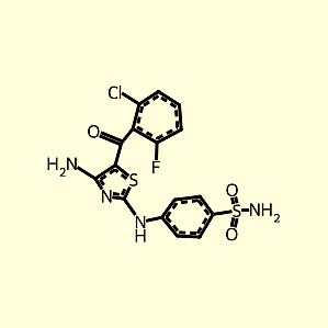 Nc1nc(Nc2ccc(S(N)(=O)=O)cc2)sc1C(=O)c1c(F)cccc1Cl